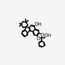 CC1(C)CC(C)(C)CC2(C1)c1ccccc1-c1c2cc(O)c2cc3c(cc12)OC(CO)(c1ccccc1)O3